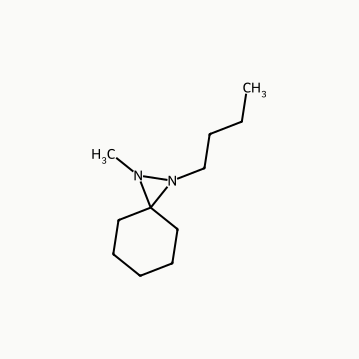 CCCCN1N(C)C12CCCCC2